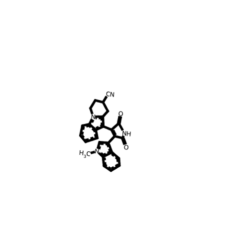 Cn1cc(C2=C(c3c4n(c5ccccc35)CCC(C#N)C4)C(=O)NC2=O)c2ccccc21